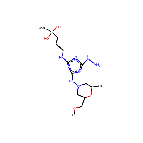 [2H]OCC1CN(Nc2nc(NN)nc(NCCC[Si](O)(O)OC)n2)CC(C)O1